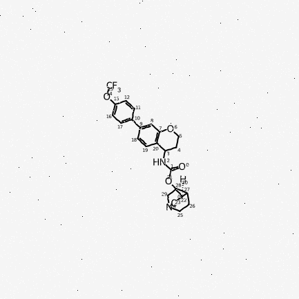 O=C(NC1CCOc2cc(-c3ccc(OC(F)(F)F)cc3)ccc21)O[C@@H]1CN2CCC1CC2